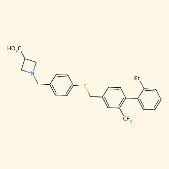 CCc1ccccc1-c1ccc(CSc2ccc(CN3CC(C(=O)O)C3)cc2)cc1C(F)(F)F